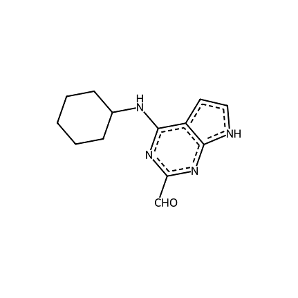 O=Cc1nc(NC2CCCCC2)c2cc[nH]c2n1